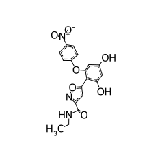 CCNC(=O)c1cc(-c2c(O)cc(O)cc2Oc2ccc([N+](=O)[O-])cc2)on1